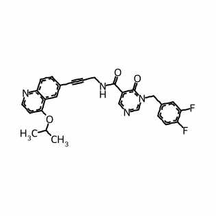 CC(C)Oc1ccnc2ccc(C#CCNC(=O)c3cncn(Cc4ccc(F)c(F)c4)c3=O)cc12